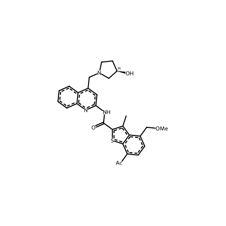 COCc1ccc(C(C)=O)c2sc(C(=O)Nc3cc(CN4CC[C@@H](O)C4)c4ccccc4n3)c(C)c12